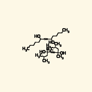 CC(C)CC(C)(O)C#CC(C)(O)CC(C)C.CCCCCC(O)C#CC(O)CCCCC